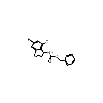 O=C(NC1COc2cc(F)cc(F)c21)OCc1ccccc1